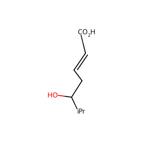 CC(C)C(O)CC=CC(=O)O